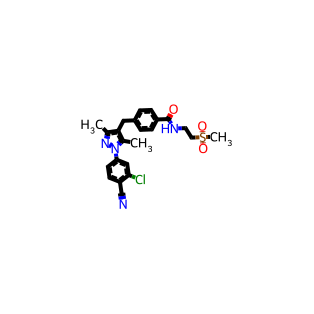 Cc1nn(-c2ccc(C#N)c(Cl)c2)c(C)c1Cc1ccc(C(=O)NCCS(C)(=O)=O)cc1